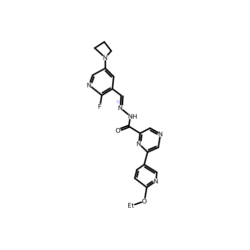 CCOc1ccc(-c2cncc(C(=O)N/N=C/c3cc(N4CCC4)cnc3F)n2)cn1